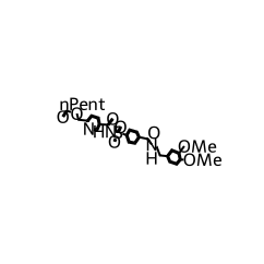 CCCCCC(=O)OCc1ccc(C(=O)NS(=O)(=O)c2ccc(C(=O)NCCc3ccc(OC)c(OC)c3)cc2)cn1